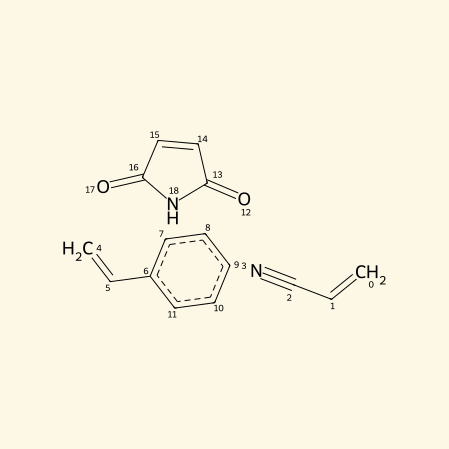 C=CC#N.C=Cc1ccccc1.O=C1C=CC(=O)N1